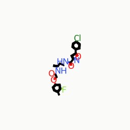 C=C(CCNC(=O)c1cc(-c2ccc(Cl)cc2)on1)NC(=O)COc1ccc(C)c(F)c1